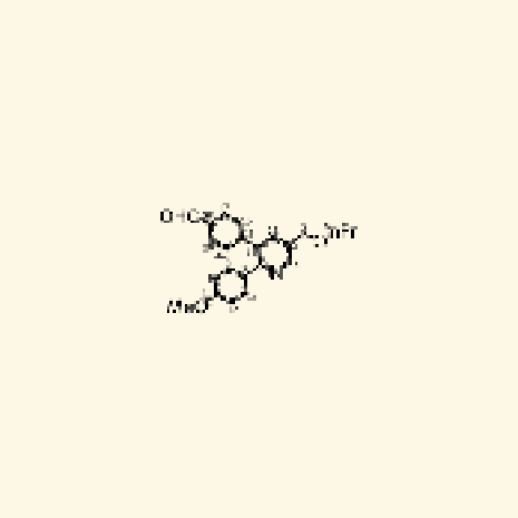 CCCOCc1cnc(-c2ccc(OC)cc2)c(-c2ccc(C=O)cc2)c1